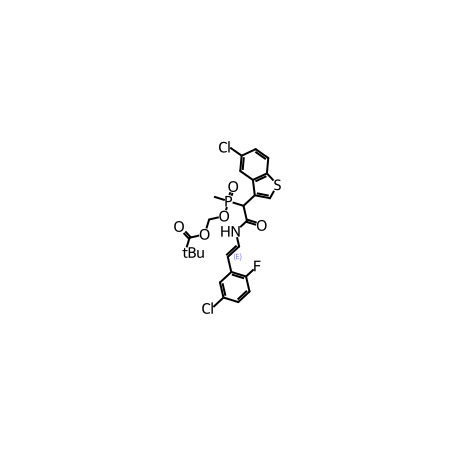 CC(C)(C)C(=O)OCOP(C)(=O)C(C(=O)N/C=C/c1cc(Cl)ccc1F)c1csc2ccc(Cl)cc12